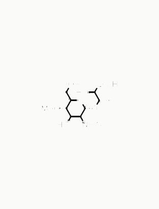 CO[C@@H]1C(CO)O[C@H](O[C@@H](C)C(O)C(=O)O)C(NC(C)=O)C1O